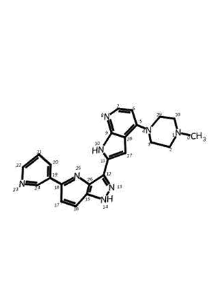 CN1CCN(c2ccnc3[nH]c(-c4n[nH]c5ccc(-c6cccnc6)nc45)cc23)CC1